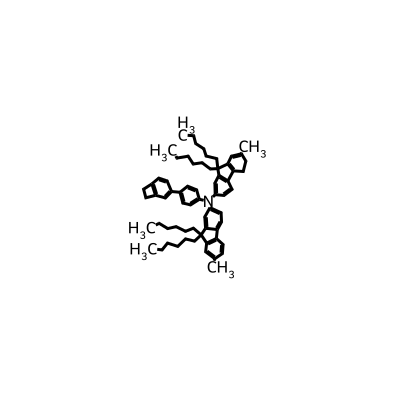 CCCCCCC1(CCCCCC)C2=C(CCC(C)=C2)c2ccc(N(c3ccc(-c4ccc5c(c4)CC5)cc3)c3ccc4c(c3)C(CCCCCC)(CCCCCC)c3cc(C)ccc3-4)cc21